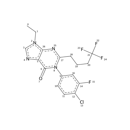 CCn1cnc2c(=O)n(-c3ccc(Cl)c(F)c3)c(CCCC(F)(F)F)nc21